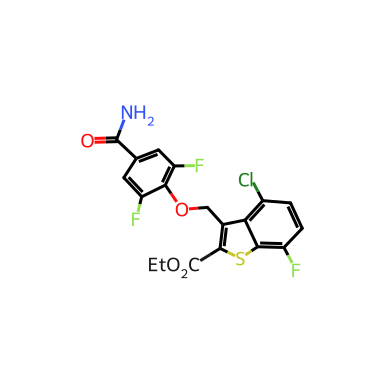 CCOC(=O)c1sc2c(F)ccc(Cl)c2c1COc1c(F)cc(C(N)=O)cc1F